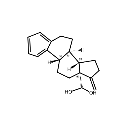 C=C1CC[C@H]2[C@@H]3CCc4ccccc4[C@H]3CC[C@]12C(O)O